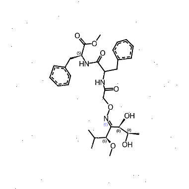 COC(=O)[C@H](Cc1ccccc1)NC(=O)C(Cc1ccccc1)NC(=O)CO/N=C(/[C@@H](OC)C(C)C)[C@@H](O)[C@@H](C)O